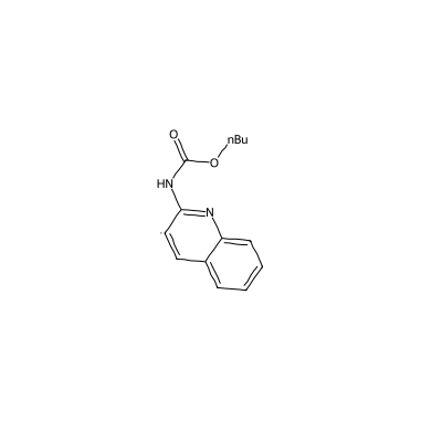 CCCCOC(=O)Nc1[c]cc2ccccc2n1